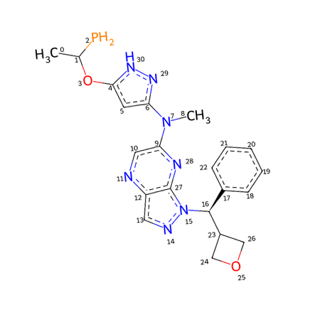 CC(P)Oc1cc(N(C)c2cnc3cnn([C@@H](c4ccccc4)C4COC4)c3n2)n[nH]1